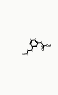 CCCCc1cccc(CC(=O)O)c1